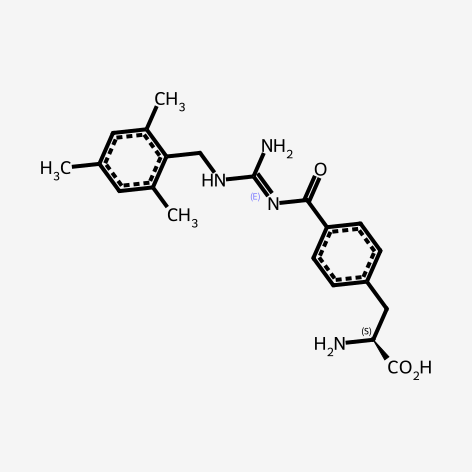 Cc1cc(C)c(CN/C(N)=N/C(=O)c2ccc(C[C@H](N)C(=O)O)cc2)c(C)c1